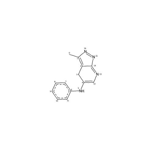 CC1=C2CC(Nc3ccccc3)=CN=C2N=N1